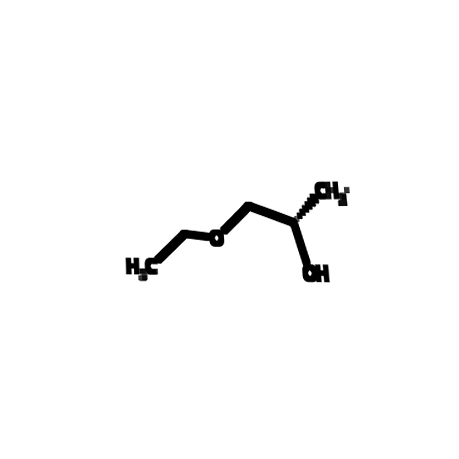 [CH2][C@H](O)COCC